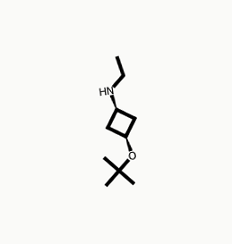 CCN[C@H]1C[C@@H](OC(C)(C)C)C1